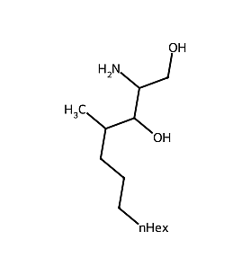 CCCCCCCCCC(C)C(O)C(N)CO